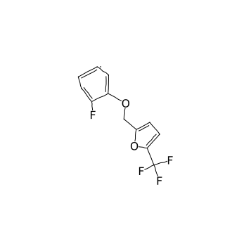 Fc1cc[c]cc1OCc1ccc(C(F)(F)F)o1